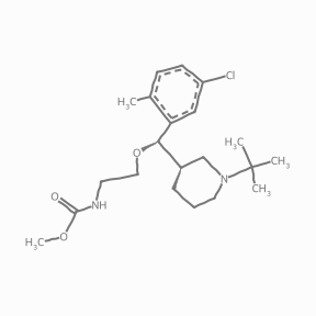 COC(=O)NCCO[C@@H](c1cc(Cl)ccc1C)[C@@H]1CCCN(C(C)(C)C)C1